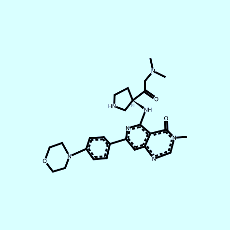 CN(C)CC(=O)[C@@]1(Nc2nc(-c3ccc(N4CCOCC4)cc3)cc3ncn(C)c(=O)c23)CCNC1